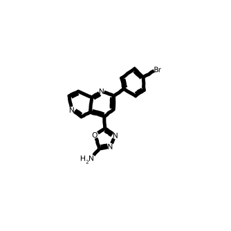 Nc1nnc(-c2cc(-c3ccc(Br)cc3)nc3ccncc23)o1